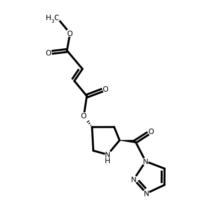 COC(=O)/C=C/C(=O)O[C@H]1CN[C@H](C(=O)n2ccnn2)C1